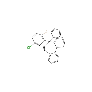 Clc1ccc2c(c1)C1(c3ccccc3S2)c2ccccc2-c2ccccc2-c2ccccc21